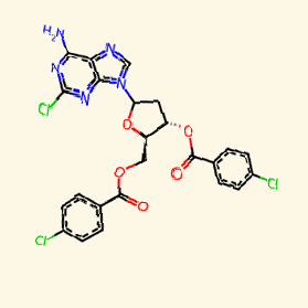 Nc1nc(Cl)nc2c1ncn2C1C[C@H](OC(=O)c2ccc(Cl)cc2)[C@@H](COC(=O)c2ccc(Cl)cc2)O1